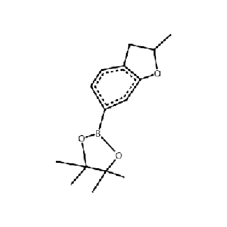 CC1Cc2ccc(B3OC(C)(C)C(C)(C)O3)cc2O1